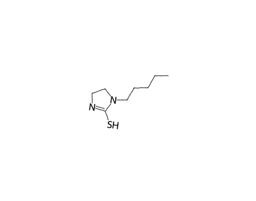 CCCCCN1CCN=C1S